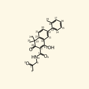 CC(=O)CNC(=O)C1=C(O)c2cc(-c3ccccc3C)ccc2C(C)(C)C1=O